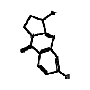 O=c1c2ccc(Cl)cc2nc2n1CCC2Br